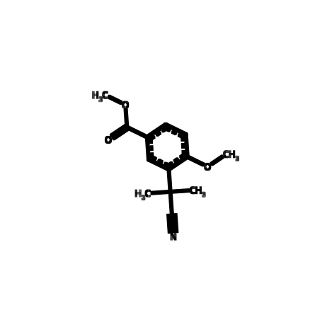 COC(=O)c1ccc(OC)c(C(C)(C)C#N)c1